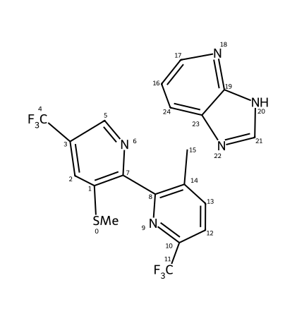 CSc1cc(C(F)(F)F)cnc1-c1nc(C(F)(F)F)ccc1C.c1cnc2[nH]cnc2c1